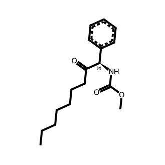 CCCCCCCC(=O)[C@H](NC(=O)OC)c1ccccc1